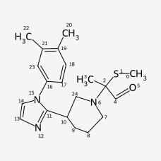 CSC(C)(C=O)N1CCCC(c2nccn2-c2ccc(C)c(C)c2)C1